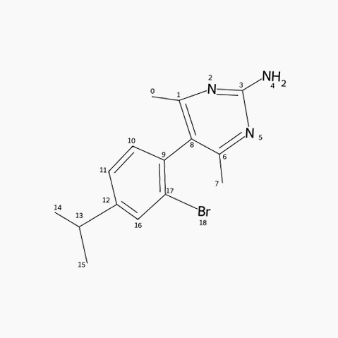 Cc1nc(N)nc(C)c1-c1ccc(C(C)C)cc1Br